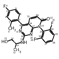 Cc1cc(F)ccc1-c1nc(NC(C)CO)nc2c1ccc(=O)n2-c1c(F)cccc1F